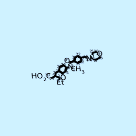 CCC1Oc2cc(N(C)C(=O)c3ccc(C=NN4CCOCC4)cc3)ccc2CC1CC(=O)O